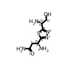 NC(=O)C[C@H](N)c1nnc([C@@H](N)CO)s1